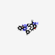 C=C/C=C\CCC(=C/C(=C)Nc1nc(-c2ccccc2)nc2c1sc1ccccc12)/C=c1/c(=C)[nH]c2ccccc12